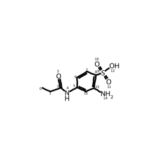 CCC(=O)Nc1ccc(S(=O)(=O)O)c(N)c1